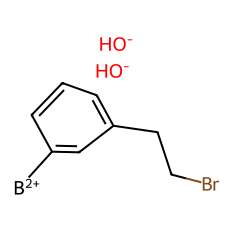 [B+2]c1cccc(CCBr)c1.[OH-].[OH-]